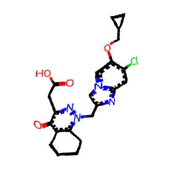 O=C(O)Cc1nn(Cc2cn3cc(OCC4CC4)c(Cl)cc3n2)c2c(c1=O)CCCC2